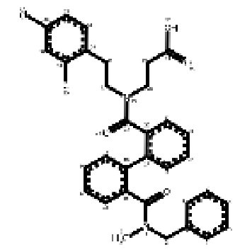 CN(Cc1ccccc1)C(=O)c1ccccc1-c1ccccc1C(=O)N(CCC(=O)O)CCc1ccc(Cl)cc1Cl